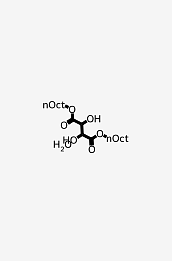 CCCCCCCCOC(=O)C(O)C(O)C(=O)OCCCCCCCC.O